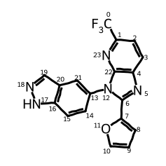 FC(F)(F)c1ccc2nc(-c3ccco3)n(-c3ccc4[nH]ncc4c3)c2n1